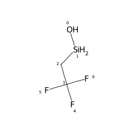 O[SiH2]CC(F)(F)F